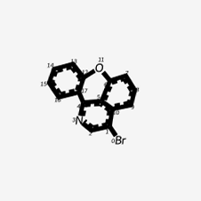 Brc1cnc2c3c(cccc13)Oc1ccccc1-2